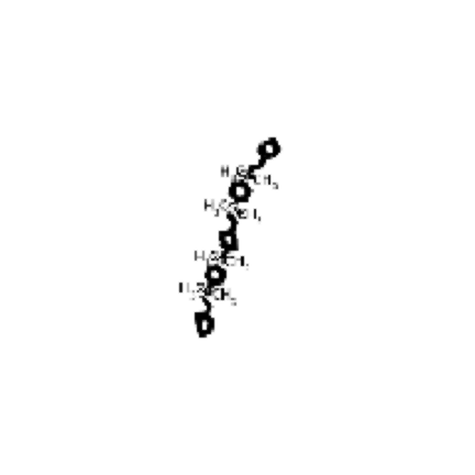 C[Si](C)(CCC1CC2C=CC1C2)c1ccc([Si](C)(C)CCC2CC3CC2CC3[Si](C)(C)c2ccc([Si](C)(C)CCC3CC4C=CC3C4)cc2)cc1